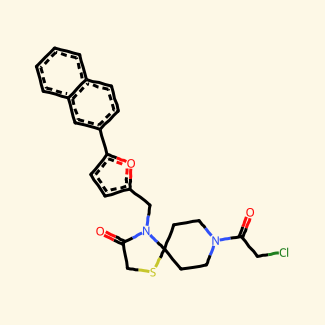 O=C(CCl)N1CCC2(CC1)SCC(=O)N2Cc1ccc(-c2ccc3ccccc3c2)o1